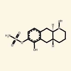 CCCN1CCC[C@@H]2Cc3c(ccc(OS(N)(=O)=O)c3O)C[C@H]21